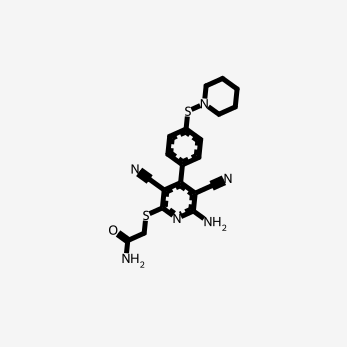 N#Cc1c(N)nc(SCC(N)=O)c(C#N)c1-c1ccc(SN2CCCCC2)cc1